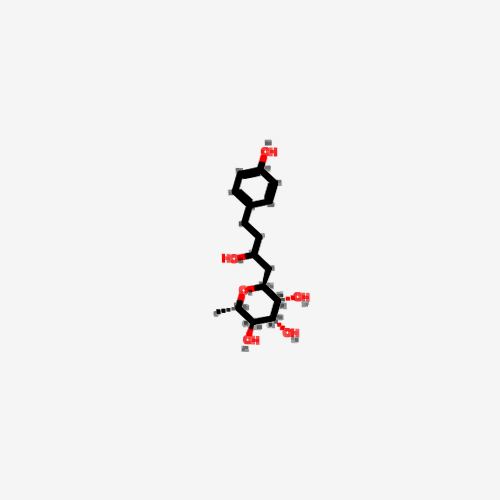 C[C@@H]1O[C@@H](CC(O)CCc2ccc(O)cc2)[C@H](O)[C@H](O)[C@H]1O